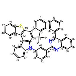 CC1(C)c2ccccc2-c2c1c1c(c3ccccc3n1-c1cccc(-c3nc(-c4ccccc4)c4ccccc4n3)c1)c1c2sc2ccccc21